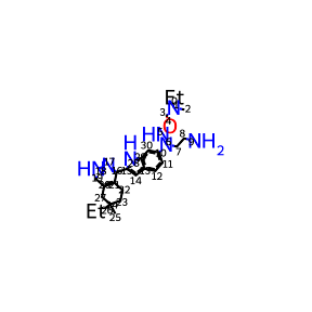 CCN(C)CONN(CCN)c1ccc2cc(C3=NNCC4=C3CCC(C)(CC)C4)[nH]c2c1